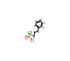 O=P(Cl)(Cl)CCCc1ccccc1